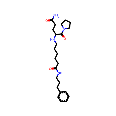 NC(=O)CCC(NCCCCCC(=O)NCCCc1ccccc1)C(=O)N1CCCC1